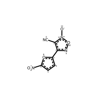 N#Cc1c(-c2ccc([N+](=O)[O-])o2)no[n+]1[O-]